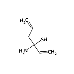 C=CCC(N)(S)C=C